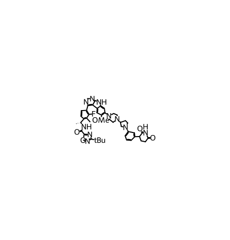 COc1cc2c(cc1N1CCN(C3CCN(c4cccc(C5CCC(=O)NC5=O)c4)C3)CC1)[nH]c1ncnc(-c3ccc([C@@H](C)NC(=O)c4nc(C(C)(C)C)no4)c(C)c3F)c12